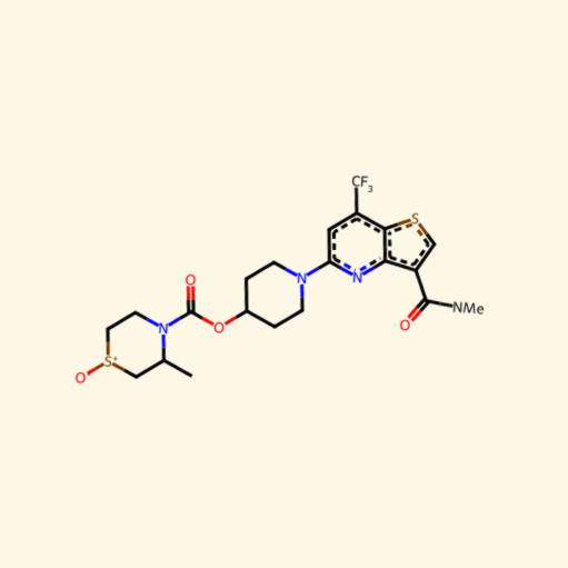 CNC(=O)c1csc2c(C(F)(F)F)cc(N3CCC(OC(=O)N4CC[S+]([O-])CC4C)CC3)nc12